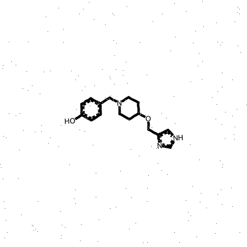 Oc1ccc(CN2CCC(OCc3c[nH]cn3)CC2)cc1